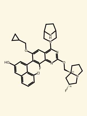 Oc1cc(-c2c(OCC3CC3)cc3c(N4CC5CCC(C4)N5)nc(OC[C@@]45CCCN4C[C@H](F)C5)nc3c2F)c2c(Cl)cccc2c1